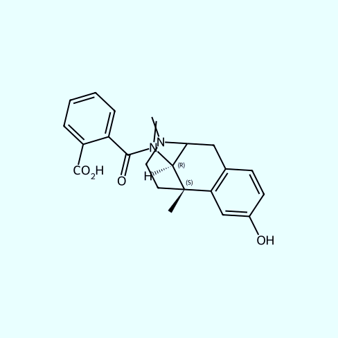 CN1CC[C@@]2(C)c3cc(O)ccc3CC1[C@@H]2N(C)C(=O)c1ccccc1C(=O)O